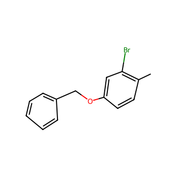 Cc1ccc(OCc2ccccc2)cc1Br